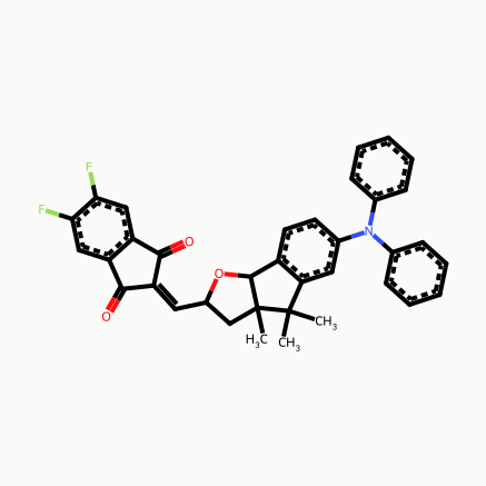 CC1(C)c2cc(N(c3ccccc3)c3ccccc3)ccc2C2OC(C=C3C(=O)c4cc(F)c(F)cc4C3=O)CC21C